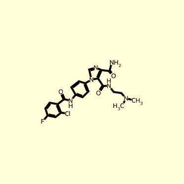 CN(C)CCNC(=O)c1c(C(N)=O)ncn1-c1ccc(NC(=O)c2ccc(F)cc2Cl)cc1